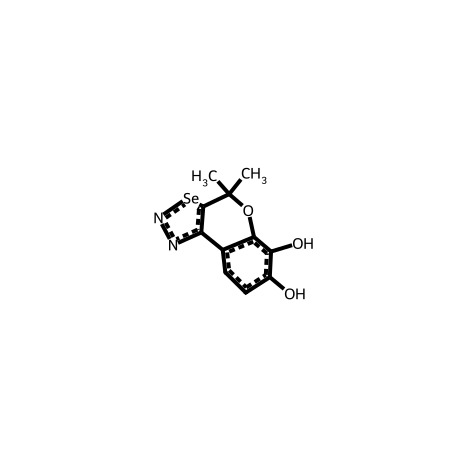 CC1(C)Oc2c(ccc(O)c2O)-c2nn[se]c21